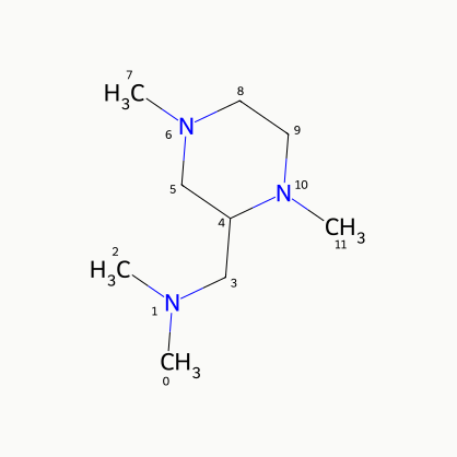 CN(C)CC1CN(C)CCN1C